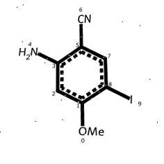 COc1cc(N)c(C#N)cc1I